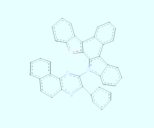 c1ccc(-c2nc3ccc4ccccc4c3nc2-n2c3ccccc3c3c4ccccc4c4c5ccccc5oc4c32)cc1